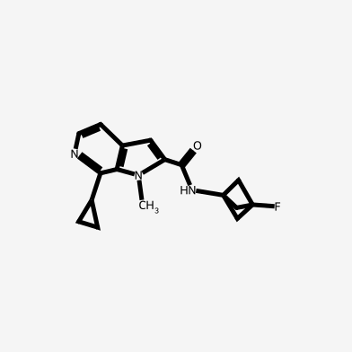 Cn1c(C(=O)NC23CC(F)(C2)C3)cc2ccnc(C3CC3)c21